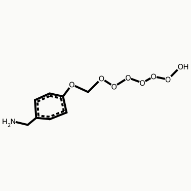 NCc1ccc(OCOOOOOOO)cc1